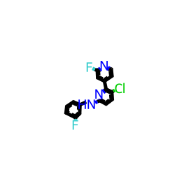 Fc1cccc(CNc2ccc(Cl)c(-c3ccnc(F)c3)n2)c1